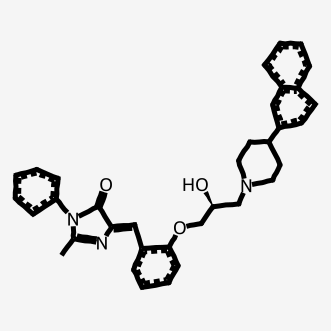 CC1=NC(=Cc2ccccc2OC[C@@H](O)CN2CCC(c3ccc4ccccc4c3)CC2)C(=O)N1c1ccccc1